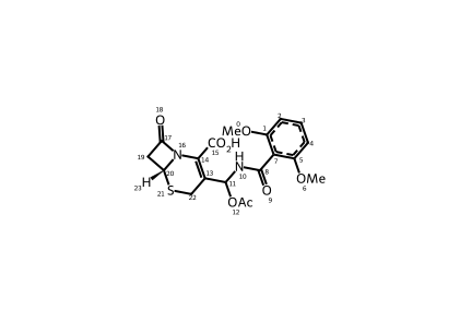 COc1cccc(OC)c1C(=O)NC(OC(C)=O)C1=C(C(=O)O)N2C(=O)C[C@H]2SC1